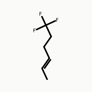 CC=CCCC(F)(F)F